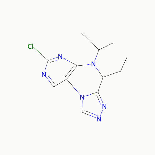 CCC1c2nncn2-c2cnc(Cl)nc2N1C(C)C